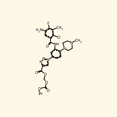 Cc1c(F)c(N)cc(C(=O)Nc2cc(-n3cc(C(=O)OCOC(=O)OC(C)C)nn3)ccc2N2CCN(C)CC2)c1Cl